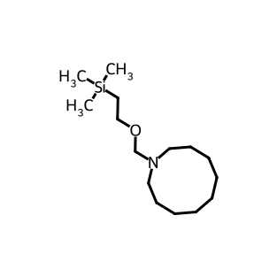 C[Si](C)(C)CCOCN1CCCCCCCCC1